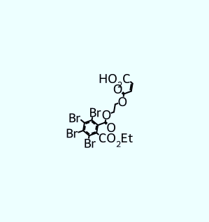 CCOC(=O)c1c(Br)c(Br)c(Br)c(Br)c1C(=O)OCCOC(=O)/C=C\C(=O)O